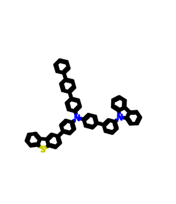 c1ccc(-c2ccc(-c3ccc(N(c4ccc(-c5cccc(-n6c7ccccc7c7ccccc76)c5)cc4)c4ccc(-c5ccc6sc7ccccc7c6c5)cc4)cc3)cc2)cc1